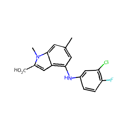 Cc1cc(Nc2ccc(F)c(Cl)c2)c2cc(C(=O)O)n(C)c2c1